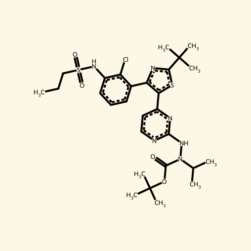 CCCS(=O)(=O)Nc1cccc(-c2nc(C(C)(C)C)sc2-c2ccnc(NN(C(=O)OC(C)(C)C)C(C)C)n2)c1Cl